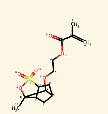 C=C(C)C(=O)OCCOC1C2CC3C(C2)S(=O)(=O)OC31C